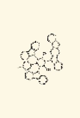 Cc1ccc(-c2c(-n3c4ccccc4c4ccccc43)c(C#N)c(-n3c4ccccc4c4cc5sc6ccccc6c5cc43)c(C#N)c2-n2c3ccccc3c3ccccc32)cc1